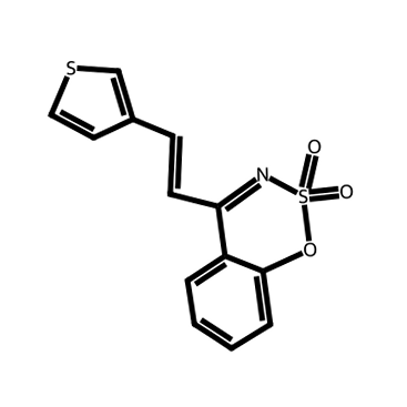 O=S1(=O)N=C(/C=C/c2ccsc2)c2ccccc2O1